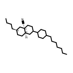 CCCCCCCC1CCC(C2CC[C@]3(C#N)C[C@H](CCCC)CC[C@@H]3C2)CC1